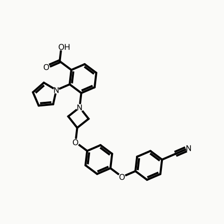 N#Cc1ccc(Oc2ccc(OC3CN(c4cccc(C(=O)O)c4-n4cccc4)C3)cc2)cc1